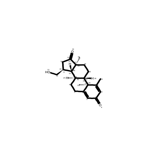 CC1=CC(=O)C=C2CC[C@H]3[C@@H]4[C@@H](CO)CC(=O)[C@@]4(C)CC[C@@H]3[C@@]12C